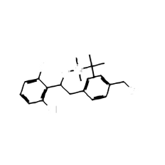 CC(C)(C)[Si](C)(C)OC(Cc1ccc(CBr)cc1)c1c(Cl)cccc1Cl